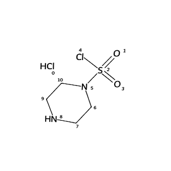 Cl.O=S(=O)(Cl)N1CCNCC1